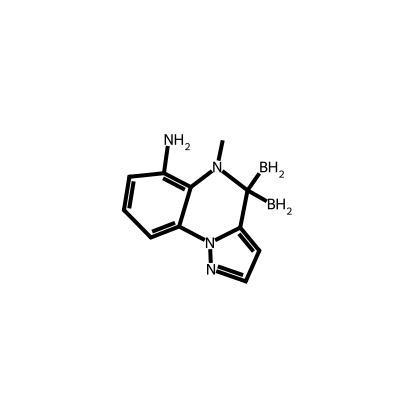 BC1(B)c2ccnn2-c2cccc(N)c2N1C